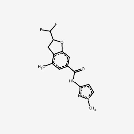 Cc1cc(C(=O)Nc2ccn(C)n2)cc2c1CC(C(F)F)O2